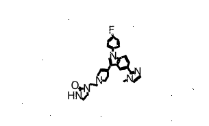 Cn1ccnc1-c1ccc2c(c1)c(C1=CCN(CCN3CCNC3=O)CC1)cn2-c1ccc(F)cc1